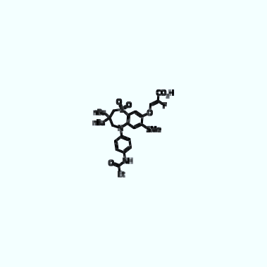 CCCCC1(CCCC)CN(c2ccc(NC(=O)CC)cc2)c2cc(SC)c(O/C=C(\F)C(=O)O)cc2S(=O)(=O)C1